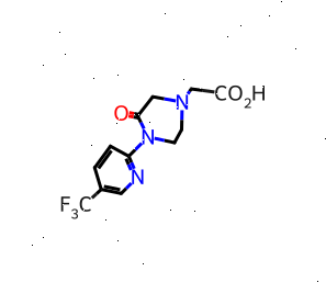 O=C(O)CN1CCN(c2ccc(C(F)(F)F)cn2)C(=O)C1